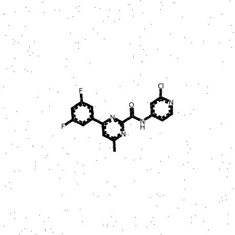 Cc1cc(-c2cc(F)cc(F)c2)nc(C(=O)Nc2ccnc(Cl)c2)n1